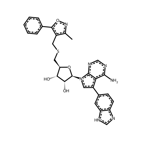 Cc1noc(-c2ccccc2)c1CSC[C@H]1O[C@@H](n2cc(-c3ccc4nc[nH]c4c3)c3c(N)ncnc32)[C@H](O)[C@@H]1O